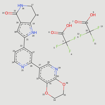 O=C(O)C(F)(F)F.O=C(O)C(F)(F)F.O=C1NCCc2[nH]c(-c3ccnc(-c4cnc5c(c4)OCCO5)c3)cc21